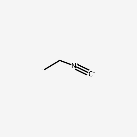 [C-]#[N+]C[CH2]